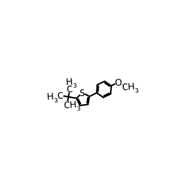 COc1ccc(-c2ccc(C(C)(C)C)s2)cc1